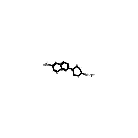 CCCCCCCC1CCC(c2ccc3cc(CCCC)ccc3c2)CC1